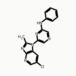 Cc1nc2ncc(Cl)cc2n1-c1cncc(Nc2ccccc2)n1